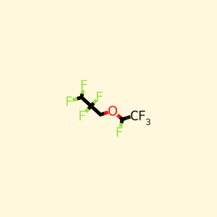 FC(OCC(F)(F)C(F)F)C(F)(F)F